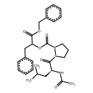 CC(=O)N[C@@H](CC(C)C)C(=O)N1CCCN1C(=O)OC(Cc1ccccc1)C(=O)OCc1ccccc1